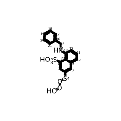 O=S(=O)(O)c1cc(SOOO)cc2cccc(NCc3ccccc3)c12